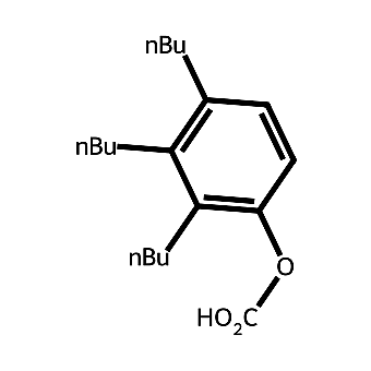 CCCCc1ccc(OC(=O)O)c(CCCC)c1CCCC